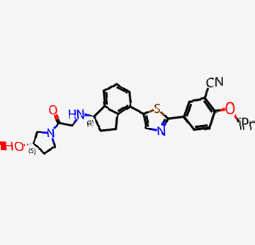 CC(C)Oc1ccc(-c2ncc(-c3cccc4c3CC[C@H]4NCC(=O)N3CC[C@H](O)C3)s2)cc1C#N